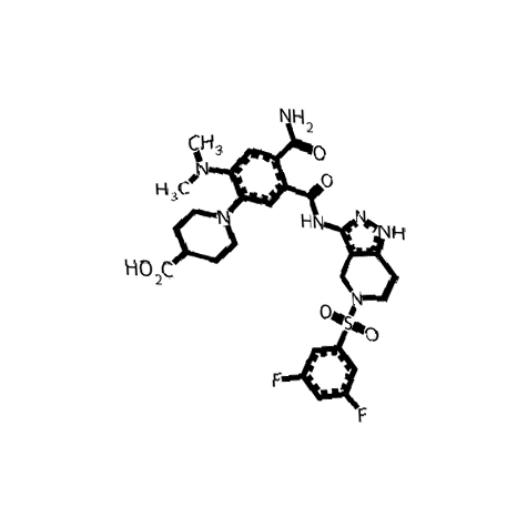 CN(C)c1cc(C(N)=O)c(C(=O)Nc2n[nH]c3c2CN(S(=O)(=O)c2cc(F)cc(F)c2)CC3)cc1N1CCC(C(=O)O)CC1